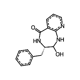 O=C1N[C@@H](Cc2ccccc2)C(O)Nc2ncccc21